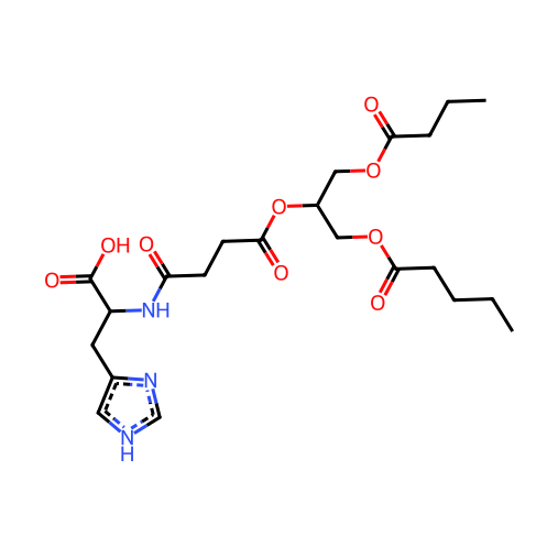 CCCCC(=O)OCC(COC(=O)CCC)OC(=O)CCC(=O)NC(Cc1c[nH]cn1)C(=O)O